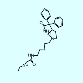 CCNCC(=O)NCCCCCN1CCC(C(C(N)=O)(c2ccccc2)c2ccccc2)C1